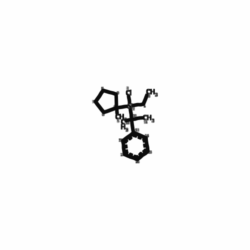 CC[Si](Cl)(C1(C)CCCC1)C(C)(C)c1ccccc1